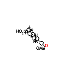 COC(=O)c1ccc(C2=CC[C@]3(C)[C@H]4CC=C5[C@H]6[C@@H](C)[C@H](C)C[C@@H](C(=O)O)[C@H]6CC[C@@]5(C)[C@]4(C)CC[C@H]3C2(C)C)cc1